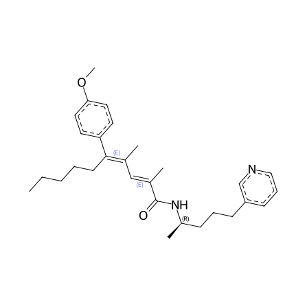 CCCCC/C(=C(C)\C=C(/C)C(=O)N[C@H](C)CCCc1cccnc1)c1ccc(OC)cc1